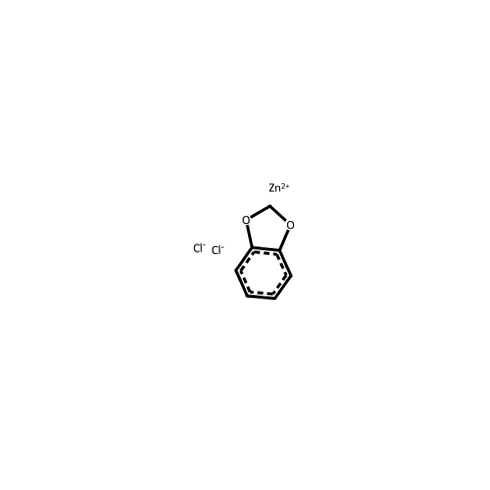 [Cl-].[Cl-].[Zn+2].c1ccc2c(c1)OCO2